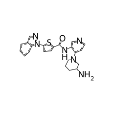 N[C@H]1CCCN(c2ccncc2NC(=O)c2ccc(-n3ncc4ccccc43)s2)C1